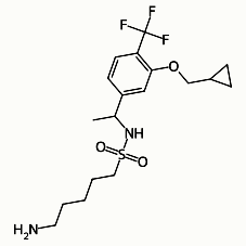 CC(NS(=O)(=O)CCCCCN)c1ccc(C(F)(F)F)c(OCC2CC2)c1